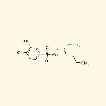 CCCCC(CC)CNS(=O)(=O)c1ccc(Cl)c(N)c1